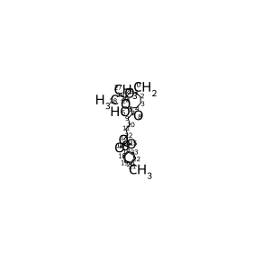 C=C1CCCC(O)(C(=O)CCCCOS(=O)(=O)c2ccc(C)cc2)OC(C(C)C)O1